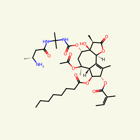 C/C=C(/C)C(=O)O[C@H]1C(C)=C2[C@H]([C@@H]1OC(=O)CCCCCCC)[C@@](C)(OC(C)=O)C[C@H](OC(=O)NC(C)(C)NC(=O)C[C@@H](C)N)[C@]1(O)[C@@H](C)C(=O)O[C@@H]21